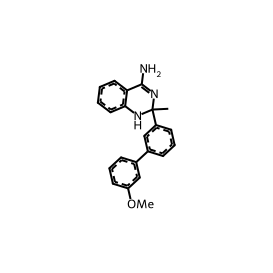 COc1cccc(-c2cccc(C3(C)N=C(N)c4ccccc4N3)c2)c1